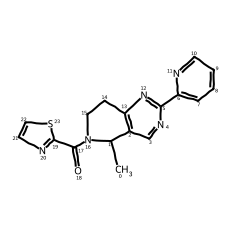 CC1c2cnc(-c3ccccn3)nc2CCN1C(=O)c1nccs1